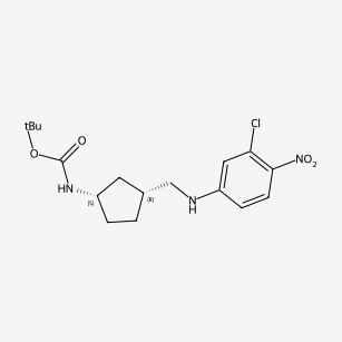 CC(C)(C)OC(=O)N[C@H]1CC[C@@H](CNc2ccc([N+](=O)[O-])c(Cl)c2)C1